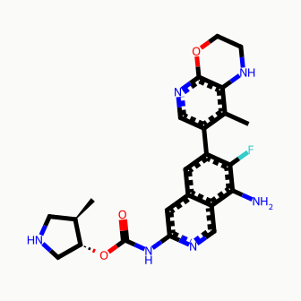 Cc1c(-c2cc3cc(NC(=O)O[C@@H]4CNC[C@H]4C)ncc3c(N)c2F)cnc2c1NCCO2